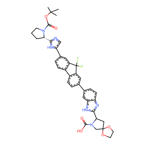 CC(C)(C)OC(=O)N1CCC[C@H]1c1ncc(-c2ccc3c(c2)C(F)(F)c2cc(-c4ccc5nc(C6CC7(CN6C(=O)O)OCCO7)[nH]c5c4)ccc2-3)[nH]1